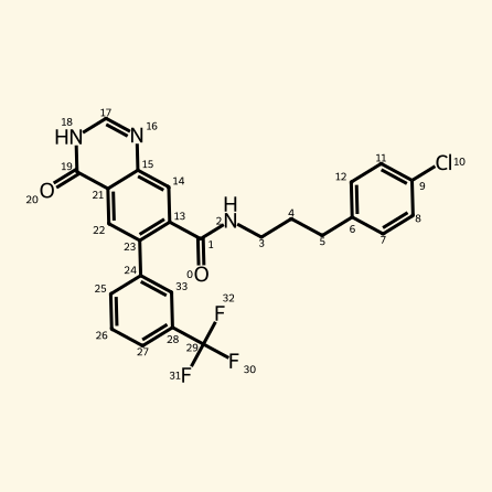 O=C(NCCCc1ccc(Cl)cc1)c1cc2nc[nH]c(=O)c2cc1-c1cccc(C(F)(F)F)c1